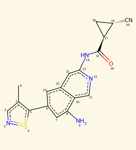 Cc1cnsc1-c1cc(N)c2cnc(NC(=O)[C@H]3C[C@@H]3C#N)cc2c1